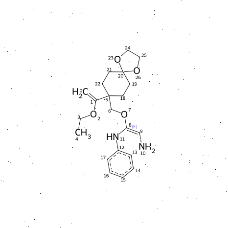 C=C(OCC)C1(CO/C(=C/N)Nc2ccccc2)CCC2(CC1)OCCO2